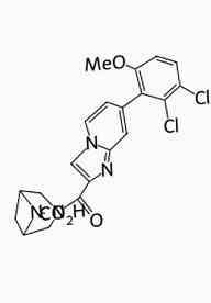 COc1ccc(Cl)c(Cl)c1-c1ccn2cc(C(=O)N3CC4CC(C3)N4C(=O)O)nc2c1